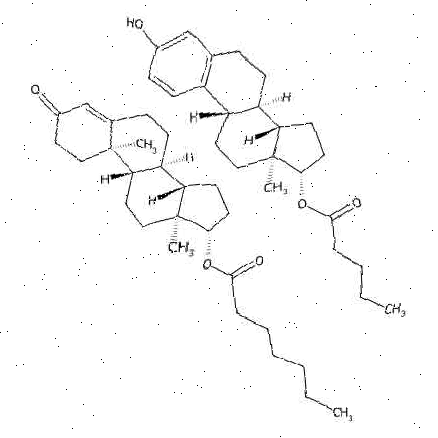 CCCCC(=O)O[C@H]1CC[C@H]2[C@@H]3CCc4cc(O)ccc4[C@H]3CC[C@]12C.CCCCCCC(=O)O[C@H]1CC[C@H]2[C@@H]3CCC4=CC(=O)CC[C@]4(C)[C@H]3CC[C@]12C